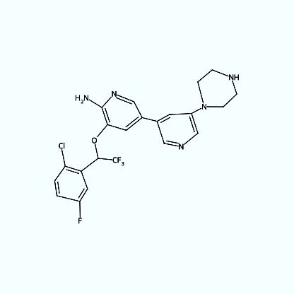 Nc1ncc(-c2cncc(N3CCNCC3)c2)cc1OC(c1cc(F)ccc1Cl)C(F)(F)F